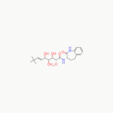 CO[C@@H](C(=O)N[C@H]1CCc2ccccc2NC1=O)[C@H](O)[C@@H](O)[C@H](O)/C=C/C(C)(C)C